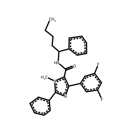 CCCCC(NC(=O)c1c(-c2cc(F)cc(F)c2)nc(-c2ccccc2)n1C)c1ccccc1